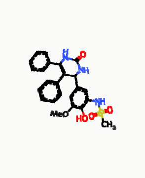 COc1cc(C2NC(=O)NC(c3ccccc3)=C2c2ccccc2)cc(NS(C)(=O)=O)c1O